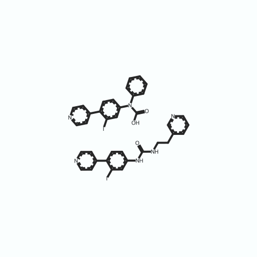 O=C(NCCc1cccnc1)Nc1ccc(-c2ccncc2)c(I)c1.O=C(O)N(c1ccccc1)c1ccc(-c2ccncc2)c(I)c1